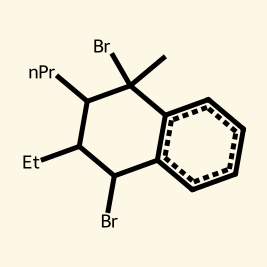 CCCC1C(CC)C(Br)c2ccccc2C1(C)Br